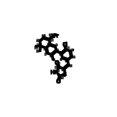 Cc1cc2c(cc1-c1cc(C=C3SC(=O)NC3=O)ccc1Cl)C(C(C)C)=CCC2(C)C